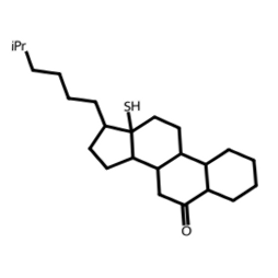 CC(C)CCCCC1CCC2C3CC(=O)C4CCCCC4C3CCC12S